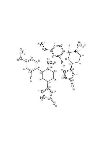 C[C@@]1(c2ccc(OC(F)(F)F)cc2F)C[C@H](c2cc(=O)[nH]o2)CCN1C(=O)O.O=C(O)N1CCC(c2cc(=O)[nH]o2)CC1c1ccc(OC(F)(F)F)cc1F